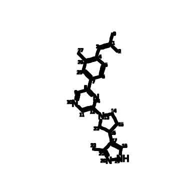 CC(C)=Cc1ccc(-c2cncc(N3CCC(c4c[nH]nc4C)C3)n2)cc1C